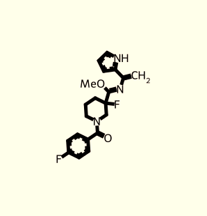 C=C(/N=C(\OC)C1(F)CCCN(C(=O)c2ccc(F)cc2)C1)c1ccc[nH]1